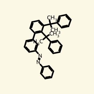 CC(C)(c1ccccc1)c1cccc(-c2cccc(N=Nc3ccccc3)c2)c1C(C)(C)c1ccccc1